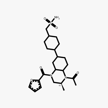 CC(=O)N1C2CCC(C3CCC(CS(N)(=O)=O)CC3)CC2N(C(=O)c2ccco2)C[C@@H]1C